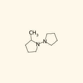 CC1CCCN1N1CCCC1